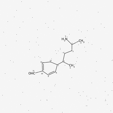 CC(N)CCC(C)C1C=CC(C=O)=CC1